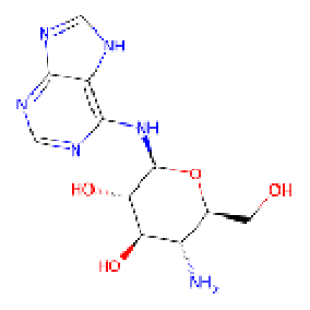 N[C@@H]1[C@@H](O)[C@H](O)[C@@H](Nc2ncnc3nc[nH]c23)O[C@H]1CO